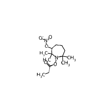 CCC(=O)ON1C(C)(C)CCCC(O[N+](=O)[O-])C1(C)C